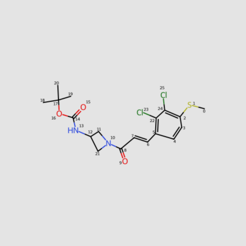 CSc1ccc(C=CC(=O)N2CC(NC(=O)OC(C)(C)C)C2)c(Cl)c1Cl